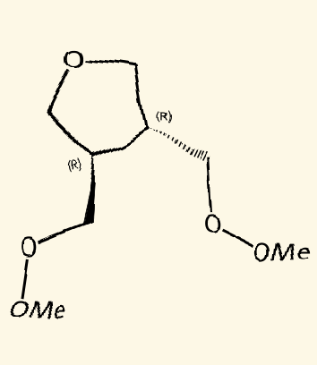 COOC[C@H]1COC[C@@H]1COOC